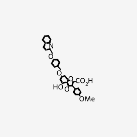 COc1ccc(-c2c(C(=O)O)oc3cc(OCc4ccc(OCc5ccc6ccccc6n5)cc4)cc(O)c3c2=O)cc1